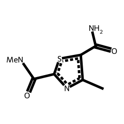 CNC(=O)c1nc(C)c(C(N)=O)s1